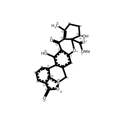 COC(=O)C12Oc3cc4c(c(O)c3C(=O)C1=C(C)CC[C@@H]2O)-c1cccc2c(=O)on(c12)C4